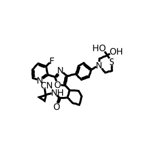 N#CC1(NC(=O)C2CCCCC2c2oc(-c3ncccc3F)nc2-c2ccc(N3CCSC(O)(O)C3)cc2)CC1